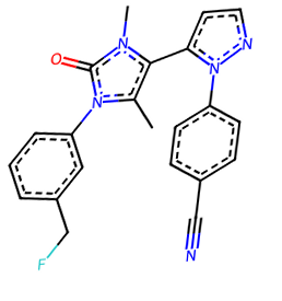 Cc1c(-c2ccnn2-c2ccc(C#N)cc2)n(C)c(=O)n1-c1cccc(CF)c1